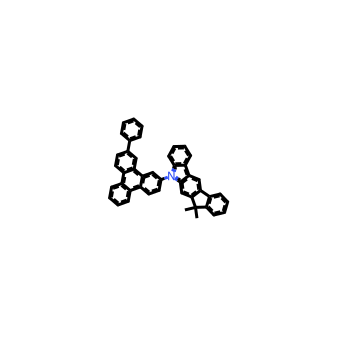 CC1(C)c2ccccc2-c2cc3c4ccccc4n(-c4ccc5c6ccccc6c6ccc(-c7ccccc7)cc6c5c4)c3cc21